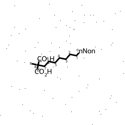 CCCCCCCCCCCCCCCCC(C)(C(=O)O)C(=O)O